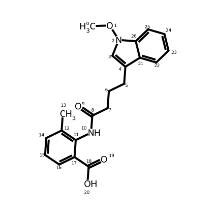 COn1cc(CCCC(=O)Nc2c(C)cccc2C(=O)O)c2ccccc21